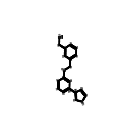 OCc1cccc(COc2cccc(-c3ccsc3)c2)c1